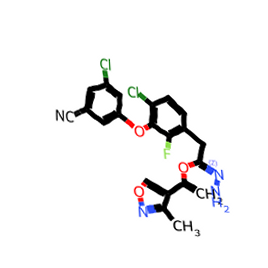 C=C(O/C(Cc1ccc(Cl)c(Oc2cc(Cl)cc(C#N)c2)c1F)=N\N)c1conc1C